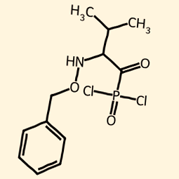 CC(C)C(NOCc1ccccc1)C(=O)P(=O)(Cl)Cl